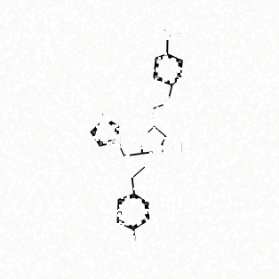 Cl.Nc1ccc(SC[C@@H]2CO[C@@](CCc3ccc(Cl)cc3)(Cn3ccnc3)O2)cc1